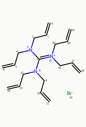 C=CCN(CC=C)C(N(CC=C)CC=C)=[N+](CC=C)CC=C.[Br-]